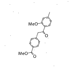 COC(=O)c1ccc(CC(=O)c2ccc(C)cc2OC)cc1